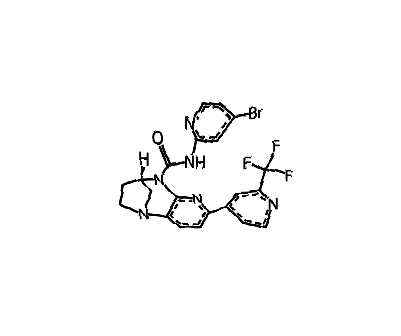 O=C(Nc1cc(Br)ccn1)N1c2nc(-c3ccnc(C(F)(F)F)c3)ccc2N2CC[C@H]1C2